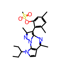 CCC(CC)n1ccc2c(C)nc3c(-c4c(C)cc(C)cc4OS(C)(=O)=O)c(C)nn3c21